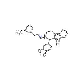 Cc1cccc(C/C=C/N2CCc3c([nH]c4ccccc34)C2c2ccc3c(c2)OCO3)c1